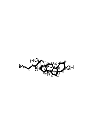 CC(C)CCC(O)C(C)(O)[C@H]1CC[C@H]2[C@@H]3CC=C4C[C@@H](O)CC[C@]4(C)[C@H]3CC[C@]12C